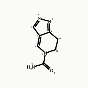 NC(=O)N1C=C2C=NN=C2CC1